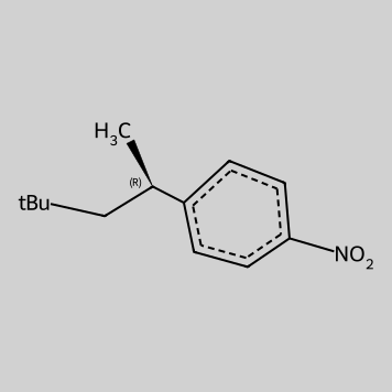 C[C@H](CC(C)(C)C)c1ccc([N+](=O)[O-])cc1